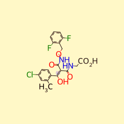 Cc1cc(Cl)ccc1/C(O)=C(/C(=O)NCC(=O)O)C(=O)NOCc1c(F)cccc1F